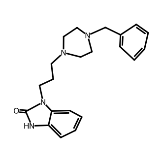 O=c1[nH]c2ccccc2n1CCCN1CCN(Cc2ccccc2)CC1